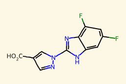 O=C(O)c1cnn(-c2nc3c(F)cc(F)cc3[nH]2)c1